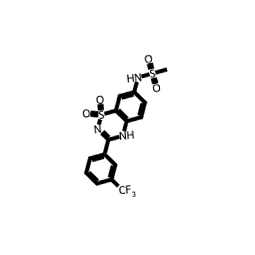 CS(=O)(=O)Nc1ccc2c(c1)S(=O)(=O)N=C(c1cccc(C(F)(F)F)c1)N2